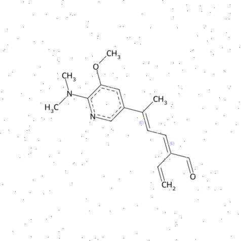 C=C/C(C=O)=C\C=C(/C)c1cnc(N(C)C)c(OC)c1